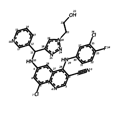 N#Cc1cnc2c(Cl)cc(NC(c3cccnc3)c3cn(CCO)nn3)cc2c1Nc1ccc(F)c(Cl)c1